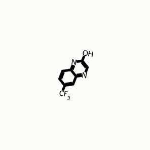 Oc1cnc2cc(C(F)(F)F)ccc2n1